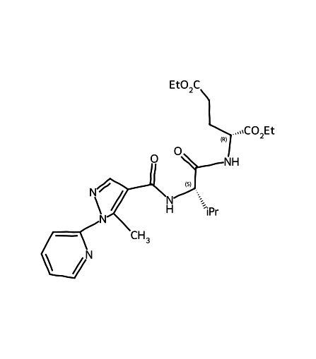 CCOC(=O)CC[C@@H](NC(=O)[C@@H](NC(=O)c1cnn(-c2ccccn2)c1C)C(C)C)C(=O)OCC